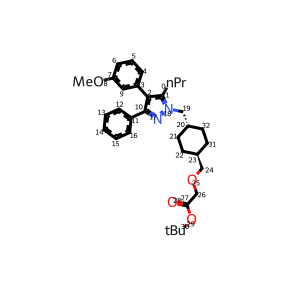 CCCc1c(-c2cccc(OC)c2)c(-c2ccccc2)nn1C[C@H]1CC[C@H](COCC(=O)OC(C)(C)C)CC1